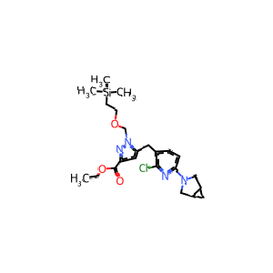 CCOC(=O)c1cc(Cc2ccc(N3CC4CC4C3)nc2Cl)n(COCC[Si](C)(C)C)n1